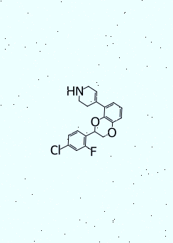 Fc1cc(Cl)ccc1C1COc2cccc(C3=CCNCC3)c2O1